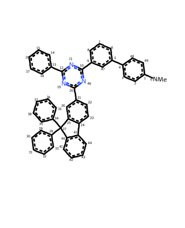 CNc1ccc(-c2cccc(-c3nc(-c4ccccc4)nc(-c4ccc5c(c4)C(c4ccccc4)(c4ccccc4)c4ccccc4-5)n3)c2)cc1